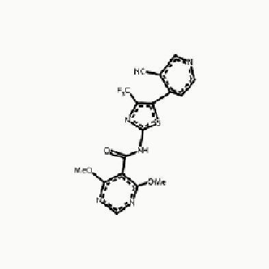 COc1ncnc(OC)c1C(=O)Nc1nc(C(F)(F)F)c(-c2ccncc2C#N)s1